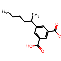 CCCCC(C)c1cc(C(=O)O)cc(C(=O)O)c1